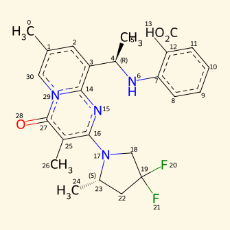 Cc1cc([C@@H](C)Nc2ccccc2C(=O)O)c2nc(N3CC(F)(F)C[C@@H]3C)c(C)c(=O)n2c1